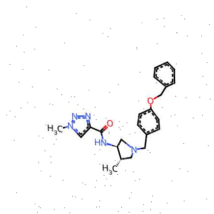 C[C@H]1CN(Cc2ccc(OCc3ccccc3)cc2)C[C@@H]1NC(=O)c1cn(C)nn1